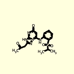 CC(=O)Cc1nn2c(Nc3ccccc3S(=O)(=O)C(C)C)cc(=O)nc2[nH]1